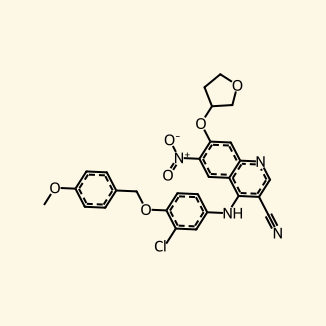 COc1ccc(COc2ccc(Nc3c(C#N)cnc4cc(OC5CCOC5)c([N+](=O)[O-])cc34)cc2Cl)cc1